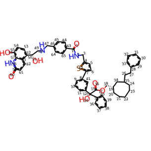 O=C(NCc1ccc(-c2cccc([C@](O)(C(=O)OC[C@H]3CCCCCC(CCc4ccccc4)C3)c3ccccc3)c2)s1)c1ccc(CNC[C@H](O)c2ccc(O)c3[nH]c(=O)ccc23)cc1